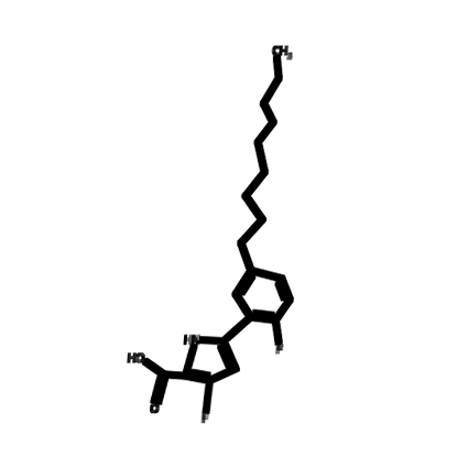 CCCCCCCCCc1ccc(F)c(-c2cc(F)c(C(=O)O)[nH]2)c1